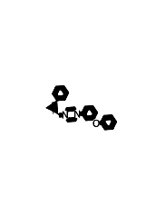 c1ccc(Oc2cccc(N3CCN(C[C@@H]4C[C@H]4c4ccccc4)CC3)c2)cc1